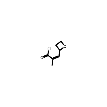 CC(=CC1CCO1)C(=O)Cl